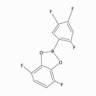 Fc1cc(F)c(B2Oc3c(F)ccc(F)c3O2)cc1F